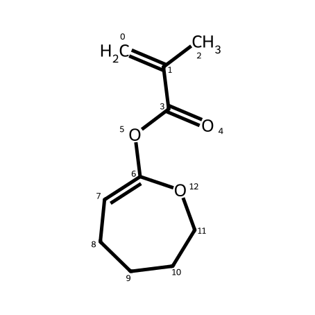 C=C(C)C(=O)OC1=CCCCCO1